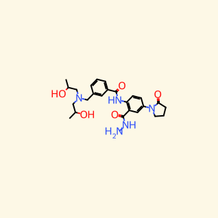 CC(O)CN(Cc1cccc(C(=O)Nc2ccc(N3CCCC3=O)cc2C(=O)NN)c1)CC(C)O